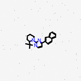 CC(C)(C)C1C[CH]CCN1c1nccc(-c2ccc3ccccc3c2)n1